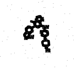 CCN1CCN(c2ccc(Nc3cc(-c4ccc5cn[nH]c5c4)c(C)n4ccnc34)nc2)CC1